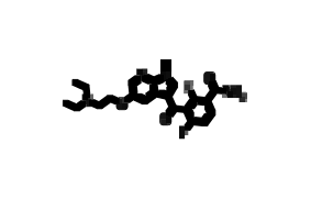 CCN(CC)CCOc1cnc2[nH]cc(C(=O)c3c(F)ccc(C(N)=O)c3F)c2c1